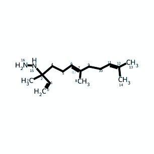 C=CC(C)(CC/C=C(\C)CCC=C(C)C)NN